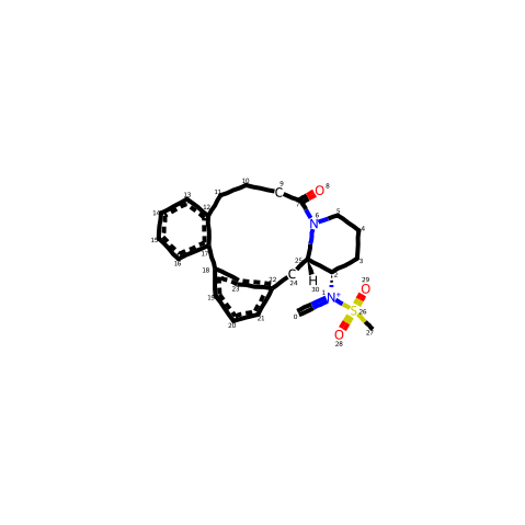 C=[N+]([C@H]1CCCN2C(=O)CCCc3ccccc3-c3cccc(c3)C[C@@H]12)S(C)(=O)=O